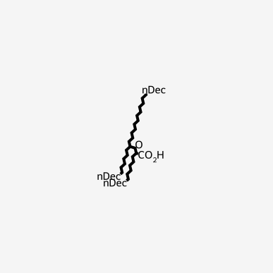 CCCCCCCCCCCCCCCCCCCCCCC(CCCCCCCCCCCCCCCC)C(=O)C(CCCCCCCCCCCCCCCC)C(=O)O